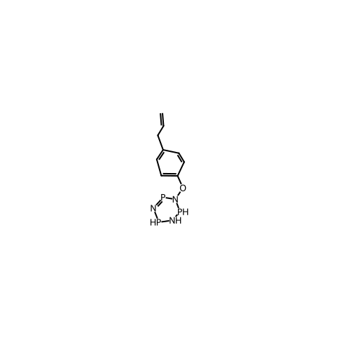 C=CCc1ccc(On2pn[pH][nH][pH]2)cc1